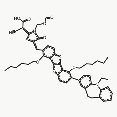 CCCCCCOc1c(/C=c2/s/c(=C(\C#N)C(=O)O)n(COC=O)c2=O)ccc2sc3c(sc4ccc(-c5ccc6c(c5)CCc5ccccc5N6CC)c(OCCCCCC)c43)c12